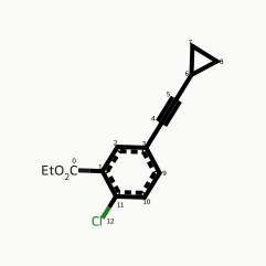 CCOC(=O)c1cc(C#CC2CC2)ccc1Cl